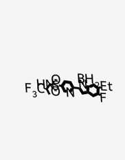 Bn1c(-c2ccc(S(=O)(=O)N[C@@H](C)C(F)(F)F)cn2)cc2cc(F)c(CC)cc21